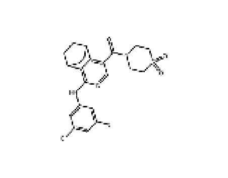 O=C(c1cnc(Nc2cc(Cl)cc(Cl)c2)c2c1C1CCC2CC1)N1CCS(=O)(=O)CC1